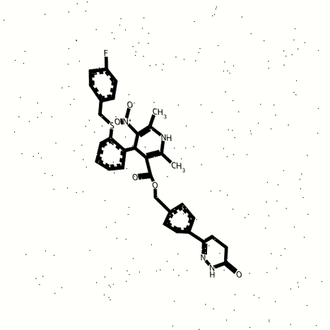 CC1=C(C(=O)OCc2ccc(C3=NNC(=O)CC3)cc2)C(c2ccccc2SCc2ccc(F)cc2)C([N+](=O)[O-])=C(C)N1